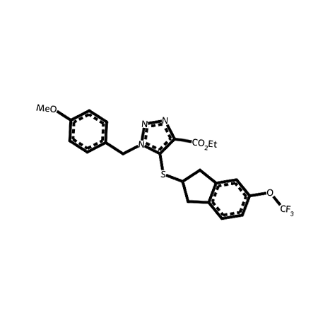 CCOC(=O)c1nnn(Cc2ccc(OC)cc2)c1SC1Cc2ccc(OC(F)(F)F)cc2C1